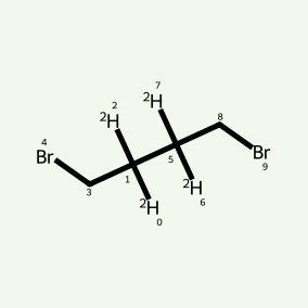 [2H]C([2H])(CBr)C([2H])([2H])CBr